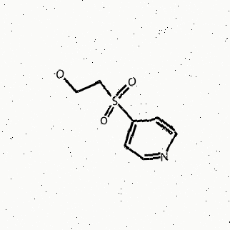 [O]CCS(=O)(=O)c1ccncc1